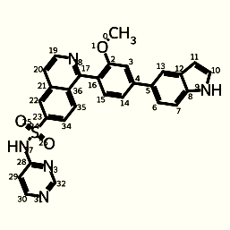 COc1cc(-c2ccc3[nH]ccc3c2)ccc1-c1nccc2cc(S(=O)(=O)Nc3ccncn3)ccc12